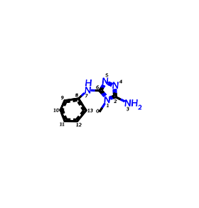 Cn1c(N)nnc1Nc1ccccc1